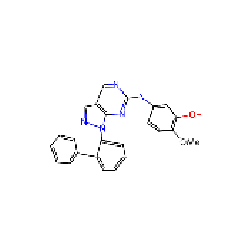 COc1ccc(Nc2ncc3cnn(-c4ccccc4-c4ccccc4)c3n2)cc1O